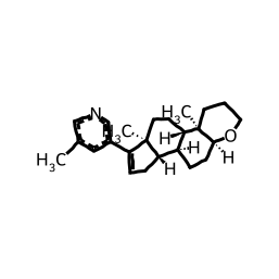 Cc1cncc(C2=CC[C@H]3[C@@H]4CC[C@@H]5OCCC[C@]5(C)[C@H]4CC[C@]23C)c1